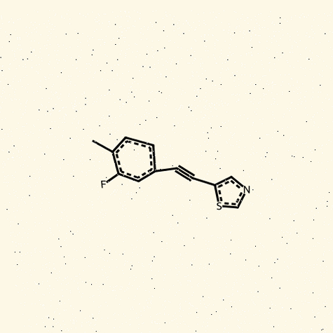 Cc1ccc(C#Cc2cncs2)cc1F